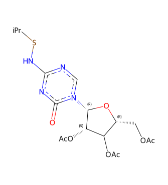 CC(=O)OC[C@H]1O[C@@H](n2cnc(NSC(C)C)nc2=O)[C@@H](OC(C)=O)C1OC(C)=O